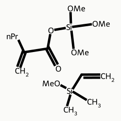 C=C(CCC)C(=O)O[Si](OC)(OC)OC.C=C[Si](C)(C)OC